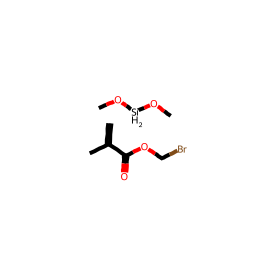 C=C(C)C(=O)OCBr.CO[SiH2]OC